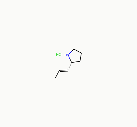 C/C=C/[C@H]1CCCN1.Cl